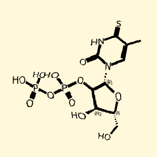 Cc1cn([C@@H]2O[C@H](CO)[C@@H](O)C2OP(=O)(O)OP(=O)(O)O)c(=O)[nH]c1=S